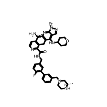 CCc1nc2c(cnn2CC)c(NC2CCOCC2)c1Cc1c(C(N)=O)ccnc1C(=O)NCc1ccc(F)c(-c2cccc(CN3CCN[C@@H](C)C3)c2)c1